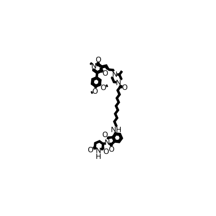 COc1ccc(-c2cn(C)c(=O)c3cc(CN4CCN(C(=O)CCCCCCCCCCNc5cccc6c5C(=O)N(C5CCC(=O)NC5=O)C6=O)CC4C)oc23)cc1OC